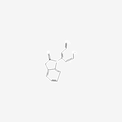 C=C/C=C(\C=C/C)N1C(=O)Cc2ccccc21